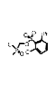 CC(C)c1cccc(Cl)c1S(=O)(=O)OCP(C)(=O)Cl